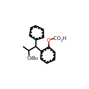 CC(C)COC(C)C(c1ccccc1)c1ccccc1OC(=O)O